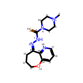 CN1CCN(C(=S)N/N=C2/CCCOc3cccnc32)CC1